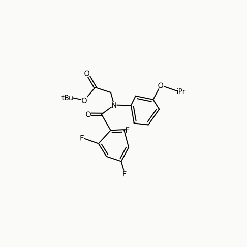 CC(C)Oc1cccc(N(CC(=O)OC(C)(C)C)C(=O)c2c(F)cc(F)cc2F)c1